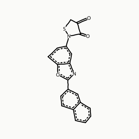 O=C1CSN(c2ccc3oc(-c4ccc5ccccc5c4)nc3c2)C1=O